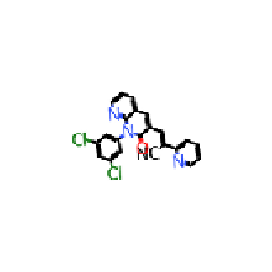 N#CC(=Cc1cc2cccnc2n(-c2cc(Cl)cc(Cl)c2)c1=O)c1ccccn1